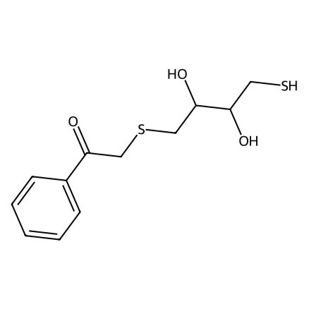 O=C(CSCC(O)C(O)CS)c1ccccc1